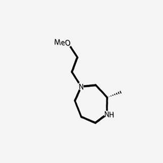 COCCN1CCCN[C@@H](C)C1